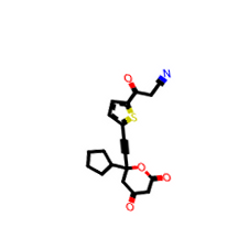 N#CCC(=O)c1ccc(C#CC2(C3CCCC3)CC(=O)CC(=O)O2)s1